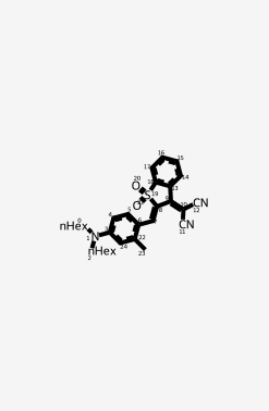 CCCCCCN(CCCCCC)c1ccc(/C=C2/C(=C(C#N)C#N)c3ccccc3S2(=O)=O)c(C)c1